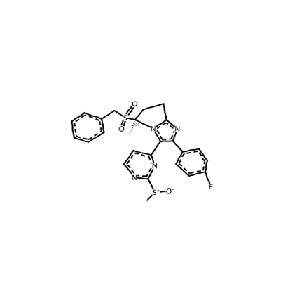 C[S+]([O-])c1nccc(-c2c(-c3ccc(F)cc3)nc3n2[C@@](C)(S(=O)(=O)Cc2ccccc2)CC3)n1